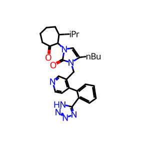 CCCCc1cn(C2C(=O)CCCCC2C(C)C)c(=O)n1Cc1cnccc1-c1ccccc1-c1nnn[nH]1